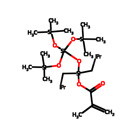 C=C(C)C(=O)O[Si](CC(C)C)(CC(C)C)O[Si](O[Si](C)(C)C)(O[Si](C)(C)C)O[Si](C)(C)C